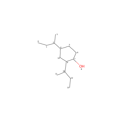 CCC(C)C1CCC(O)C(C(C)CC)C1